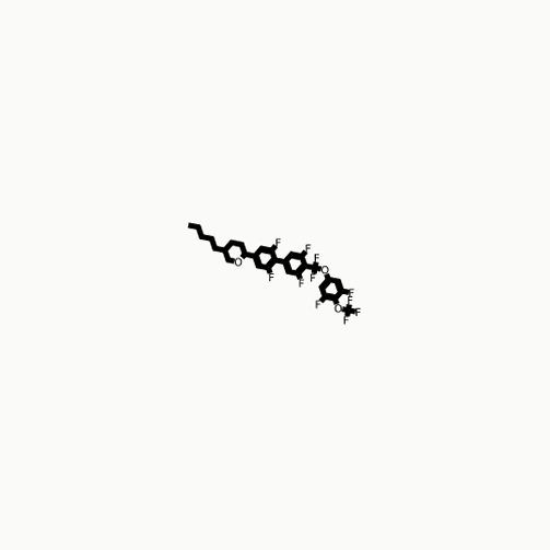 CCCCCC1CCC(c2cc(F)c(-c3cc(F)c(C(F)(F)Oc4cc(F)c(OC(F)(F)F)c(F)c4)c(F)c3)c(F)c2)OC1